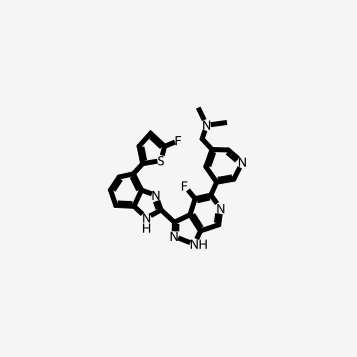 CN(C)Cc1cncc(-c2ncc3[nH]nc(-c4nc5c(-c6ccc(F)s6)cccc5[nH]4)c3c2F)c1